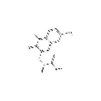 CNC(=O)[C@@H](C)Oc1cc2cc(N)ccc2n(C)c1=O